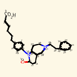 O=C(O)CCCCCc1ccc(N2C(=O)CCC3CN(CCc4ccccc4)CCC32)cc1